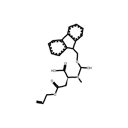 C=CCOC(=O)C[C@@H](C(=O)O)N(C)C(O)OCC1c2ccccc2-c2ccccc21